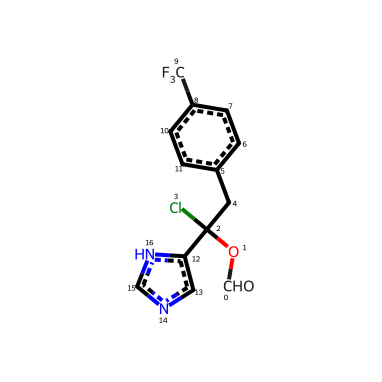 O=COC(Cl)(Cc1ccc(C(F)(F)F)cc1)c1cnc[nH]1